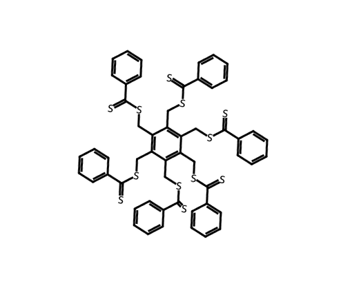 S=C(SCc1c(CSC(=S)c2ccccc2)c(CSC(=S)c2ccccc2)c(CSC(=S)c2ccccc2)c(CSC(=S)c2ccccc2)c1CSC(=S)c1ccccc1)c1ccccc1